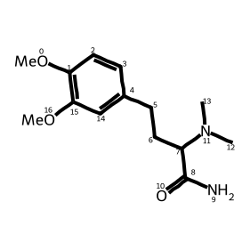 COc1ccc(CCC(C(N)=O)N(C)C)cc1OC